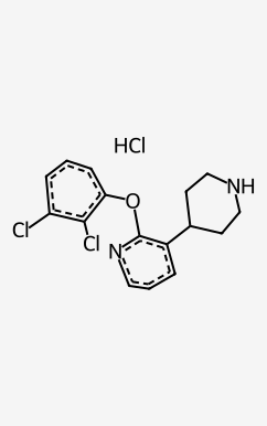 Cl.Clc1cccc(Oc2ncccc2C2CCNCC2)c1Cl